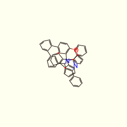 C1=CC2=C(CC1)c1ccccc1C21c2ccccc2Oc2ccc(-c3ccccc3-c3cccc(-c4cc(-c5ccccc5)nc(-c5ccccc5)n4)c3)cc21